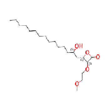 CCCCCCCCCCCCC[C@@H](O)C[C@@H]1OC(=O)[C@H]1OCCOC